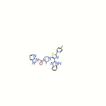 Cc1ccc(-c2nc(-c3nc4ccccc4[nH]3)c(N3CCN(C(=O)Cn4cnc5cccnc54)C(C)C3)s2)cc1